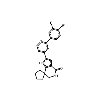 CC(C)c1ccc(-c2nccc(-c3cc4c([nH]3)C3(CCCC3)CNC4=O)n2)cc1F